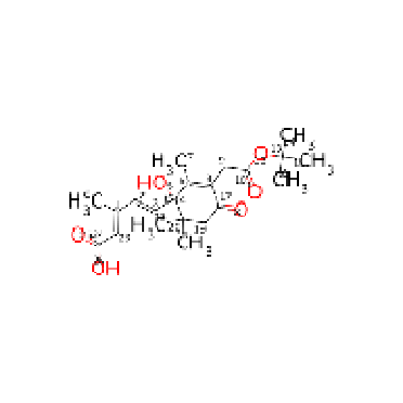 CC(C=C[C@@]1(O)C(C)=C(CC(=O)OC(C)(C)C)C(=O)CC1(C)C)=CC(=O)O